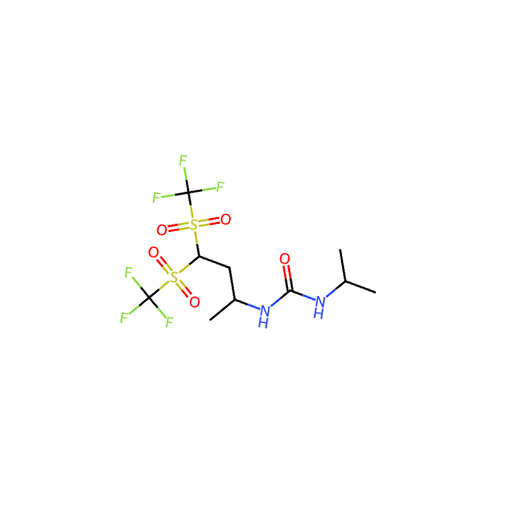 CC(C)NC(=O)NC(C)CC(S(=O)(=O)C(F)(F)F)S(=O)(=O)C(F)(F)F